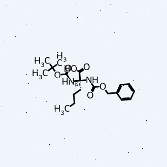 CCCC[C@](NC(=O)OCc1ccccc1)(NC(=O)OC(C)(C)C)C(=O)O